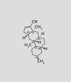 C[C@H]1CC[C@]2(C)[C@H](CC[C@@H]3C[C@]4(C)C(C#N)=CC[C@H]4C[C@H]32)C1